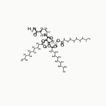 CCCCCCCCCC(=O)OC[C@H]1O[C@@H](N2C=CC=C(C(N)=O)C2)[C@H](OC(=O)CCCCCCCCC)[C@H]1OC(=O)CCCCCCCCC